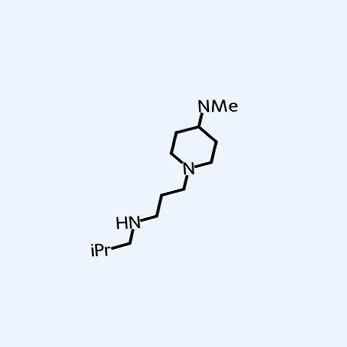 CNC1CCN(CCCNCC(C)C)CC1